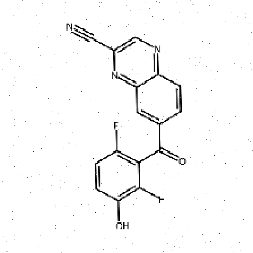 N#Cc1cnc2ccc(C(=O)c3c(F)ccc(O)c3F)cc2n1